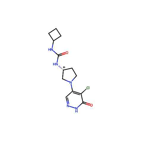 O=C(NC1CCC1)N[C@@H]1CCN(c2cn[nH]c(=O)c2Cl)C1